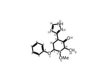 CON1C(Oc2ccccc2)CC(c2nc[nH]n2)C(=O)C1C